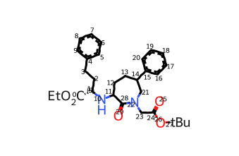 CCOC(=O)[C@H](CCc1ccccc1)NC1CCC(c2ccccc2)CN(CC(=O)OC(C)(C)C)C1=O